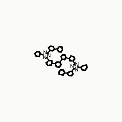 c1ccc(-c2cccc(-c3nc(-c4ccccc4)nc(-c4cccc(-c5cccc(-c6cccc(-c7cccc(-c8nc(-c9ccccc9)nc(-c9cccc(-c%10ccccc%10)c9)n8)c7)c6)c5)c4)n3)c2)cc1